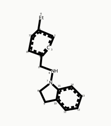 CCc1ccc(CNN2CCc3ccccc32)cc1